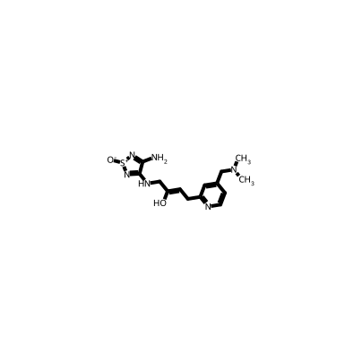 CN(C)Cc1ccnc(C/C=C(\O)CNc2n[s+]([O-])nc2N)c1